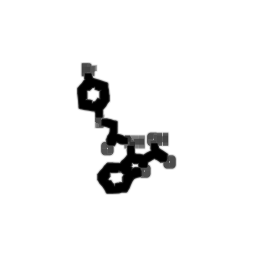 O=C(CSc1ccc(Br)cc1)Nc1c(C(=O)O)oc2ccccc12